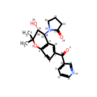 CC1(C)Oc2ccc(C(=O)c3cccnc3)cc2[C@H](N2CCCC2=O)[C@H]1O